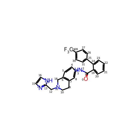 O=C(Nc1ccc2c(c1)CCN(Cc1ncc[nH]1)C2)c1ccccc1-c1ccc(C(F)(F)F)cc1